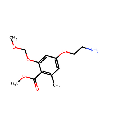 COCOc1cc(OCCN)cc(C)c1C(=O)OC